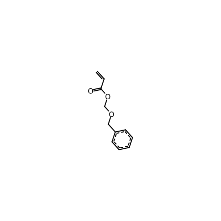 C=CC(=O)OCOCc1ccccc1